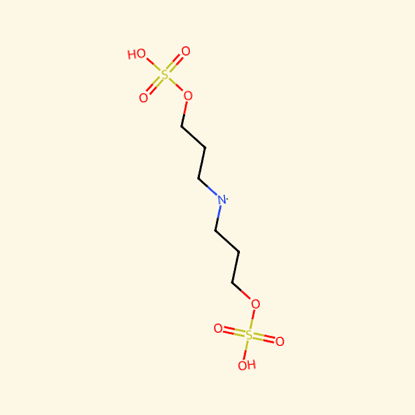 O=S(=O)(O)OCCC[N]CCCOS(=O)(=O)O